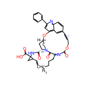 C=CC1CC1(NC(=O)[C@@H]1C[C@@H]2CN1C(=O)[C@H](CCCC)NC(=O)OC/C=C\c1ccc3nc(-c4ccccc4)cc(c3c1)O2)C(=O)O